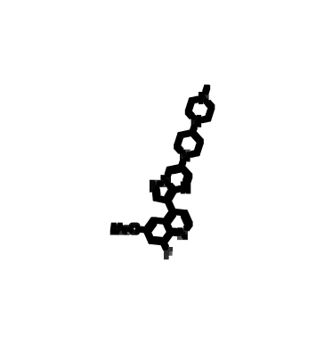 COc1cc(F)c2nccc(-c3cnn4cc(N5CCC(N6CCN(C)CC6)CC5)cnc34)c2c1